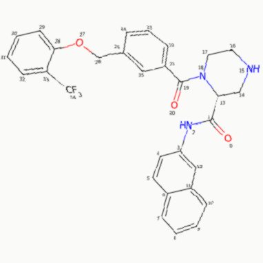 O=C(Nc1ccc2ccccc2c1)C1CNCCN1C(=O)c1cccc(COc2ccccc2C(F)(F)F)c1